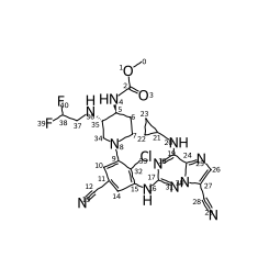 COC(=O)N[C@H]1CCN(c2cc(C#N)cc(Nc3nc(NC4CC4)c4ncc(C#N)n4n3)c2Cl)C[C@@H]1NCC(F)F